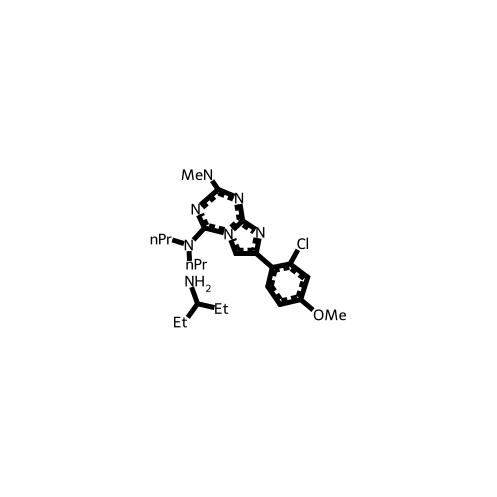 CCC(N)CC.CCCN(CCC)c1nc(NC)nc2nc(-c3ccc(OC)cc3Cl)cn12